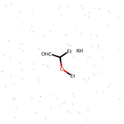 CCOC(C=O)CC.[KH]